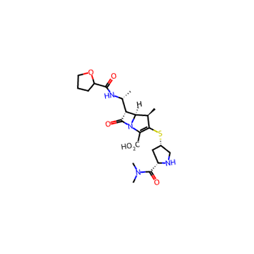 C[C@@H](NC(=O)C1CCCO1)[C@H]1C(=O)N2C(C(=O)O)=C(S[C@@H]3CN[C@H](C(=O)N(C)C)C3)[C@H](C)[C@H]12